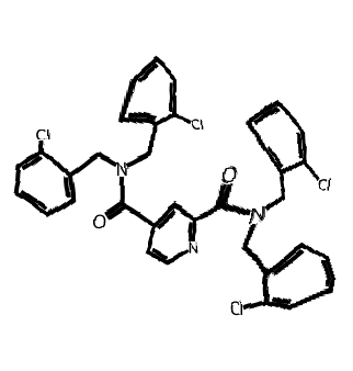 O=C(c1ccnc(C(=O)N(Cc2ccccc2Cl)Cc2ccccc2Cl)c1)N(Cc1ccccc1Cl)Cc1ccccc1Cl